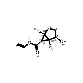 C=COC(=O)[C@H]1[C@@H]2SC[C@@H](O)[C@@H]21